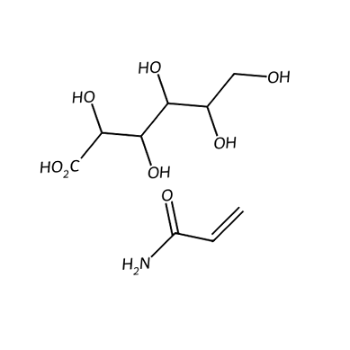 C=CC(N)=O.O=C(O)C(O)C(O)C(O)C(O)CO